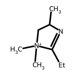 CCC1=NC(C)C[N+]1(C)C